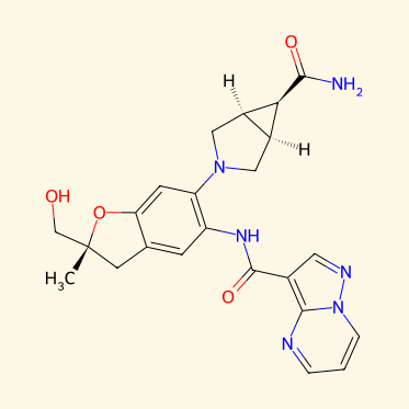 C[C@]1(CO)Cc2cc(NC(=O)c3cnn4cccnc34)c(N3C[C@@H]4[C@H](C3)[C@@H]4C(N)=O)cc2O1